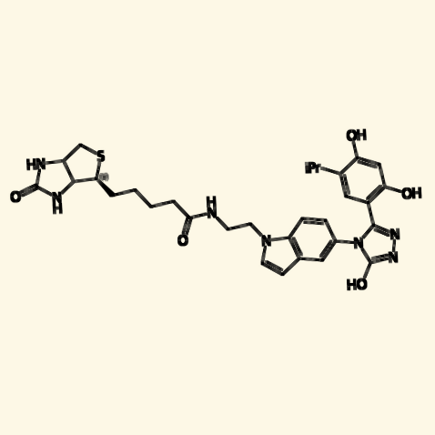 CC(C)c1cc(-c2nnc(O)n2-c2ccc3c(ccn3CCNC(=O)CCCC[C@@H]3SCC4NC(=O)NC43)c2)c(O)cc1O